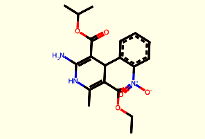 CCOC(=O)C1=C(C)NC(N)=C(C(=O)OC(C)C)C1c1ccccc1[N+](=O)[O-]